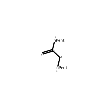 [CH2]CCCCC(=C)CCCCCC